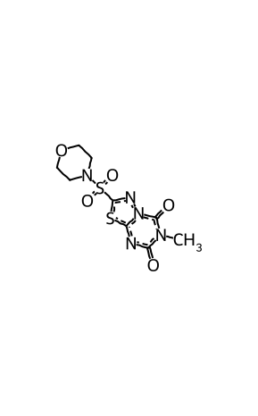 Cn1c(=O)nc2sc(S(=O)(=O)N3CCOCC3)nn2c1=O